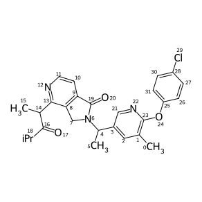 Cc1cc(C(C)N2Cc3c(ccnc3C(C)C(=O)C(C)C)C2=O)cnc1Oc1ccc(Cl)cc1